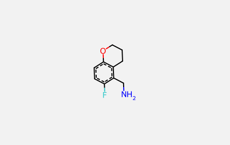 NCc1c(F)ccc2c1CCCO2